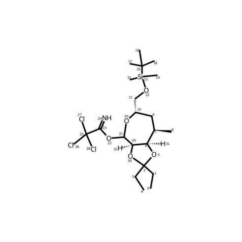 CCC1(CC)O[C@@H]2[C@H](C)C[C@@H](CO[Si](C)(C)C(C)(C)C)OC(OC(=N)C(Cl)(Cl)Cl)[C@@H]2O1